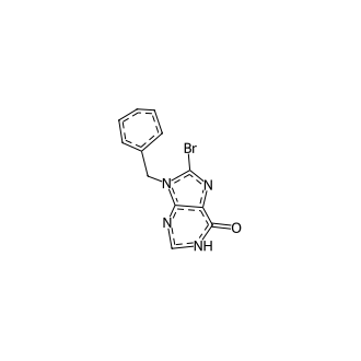 O=c1[nH]cnc2c1nc(Br)n2Cc1ccccc1